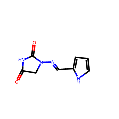 O=C1CN(N=Cc2ccc[nH]2)C(=O)N1